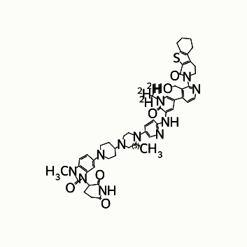 [2H]C([2H])([2H])n1cc(-c2ccnc(N3CCc4c(sc5c4CCCC5)C3=O)c2CO)cc(Nc2ccc(N3CCN(C4CCN(c5ccc6c(c5)n(C5CCC(=O)NC5=O)c(=O)n6C)CC4)C[C@@H]3C)cn2)c1=O